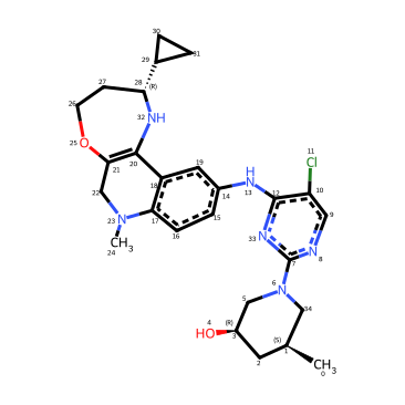 C[C@H]1C[C@@H](O)CN(c2ncc(Cl)c(Nc3ccc4c(c3)C3=C(CN4C)OCC[C@H](C4CC4)N3)n2)C1